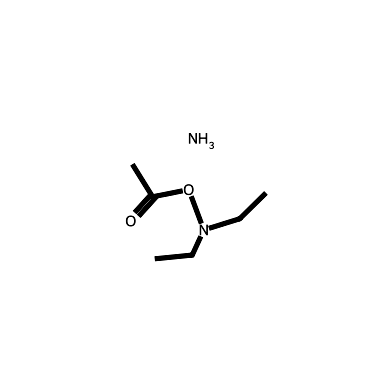 CCN(CC)OC(C)=O.N